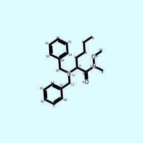 CCCCC(C(=O)N(C)OC)N(Cc1ccccc1)Cc1ccccc1